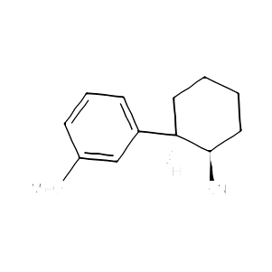 COc1cccc([C@@]2(O)CCCC[C@H]2C#N)c1